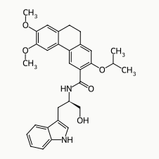 COc1cc2c(cc1OC)-c1cc(C(=O)N[C@@H](CO)Cc3c[nH]c4ccccc34)c(OC(C)C)cc1CC2